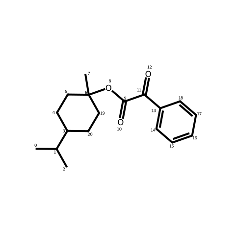 CC(C)C1CCC(C)(OC(=O)C(=O)c2ccccc2)CC1